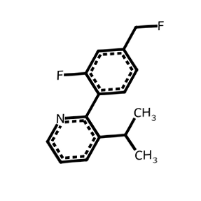 CC(C)c1cccnc1-c1ccc(CF)cc1F